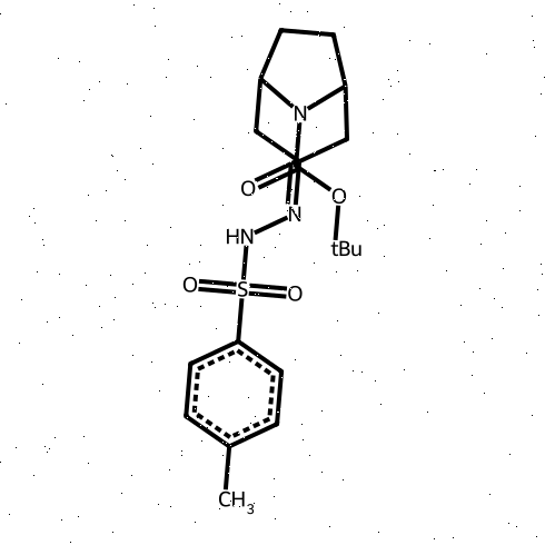 Cc1ccc(S(=O)(=O)NN=C2CC3CCC(C2)N3C(=O)OC(C)(C)C)cc1